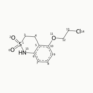 O=S1(=O)CCc2c(cccc2OCCCl)N1